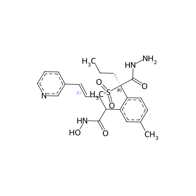 CCC[C@](C(=O)NN)(c1ccc(C)cc1C(C/C=C/c1cccnc1)C(=O)NO)S(C)(=O)=O